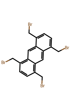 BrCc1ccc(CBr)c2cc3c(CBr)ccc(CBr)c3cc12